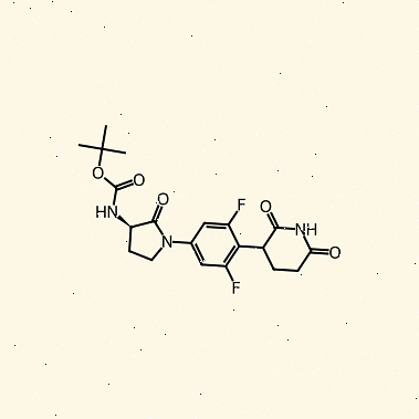 CC(C)(C)OC(=O)N[C@@H]1CCN(c2cc(F)c(C3CCC(=O)NC3=O)c(F)c2)C1=O